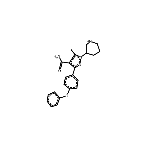 Cc1c(C(N)=O)c(-c2ccc(Oc3ccccc3)cc2)nn1C1CCCNC1